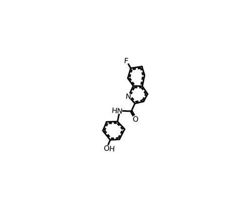 O=C(Nc1ccc(O)cc1)c1ccc2ccc(F)cc2n1